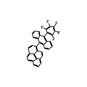 Fc1c(F)c(F)c(-c2c3ccccc3c(-c3ccc4ccc5cccc6ccc3c4c56)c3ccccc23)c(F)c1F